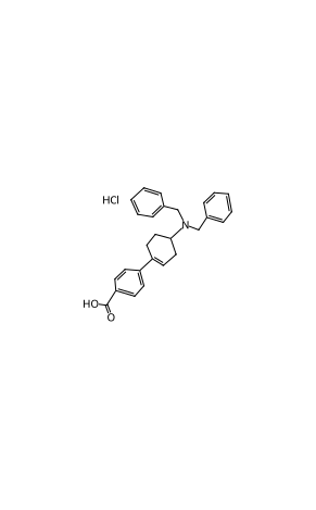 Cl.O=C(O)c1ccc(C2=CCC(N(Cc3ccccc3)Cc3ccccc3)CC2)cc1